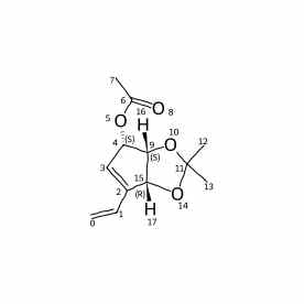 C=CC1=C[C@H](OC(C)=O)[C@@H]2OC(C)(C)O[C@H]12